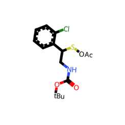 CC(=O)OSC(CNC(=O)OC(C)(C)C)c1ccccc1Cl